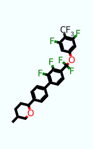 CC1CCC(c2ccc(-c3ccc(C(F)(F)Oc4cc(F)c(C(F)(F)F)c(F)c4)c(F)c3F)cc2)OC1